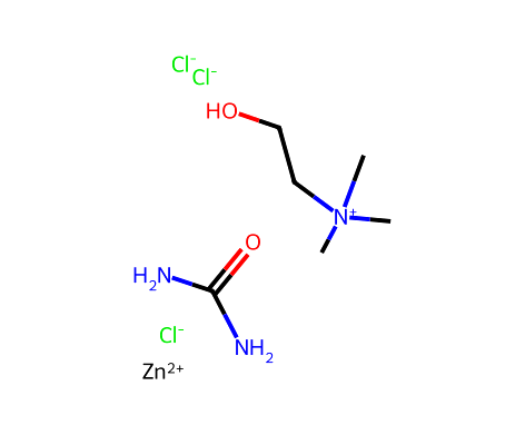 C[N+](C)(C)CCO.NC(N)=O.[Cl-].[Cl-].[Cl-].[Zn+2]